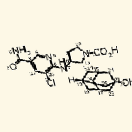 NC(=O)c1cnc(NC2CCN(C(=O)O)[C@@H]2C2C3CC4C[C@H]2C[C@@](O)(C4)C3)c(Cl)c1